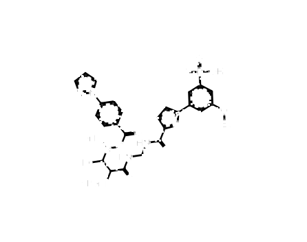 CCCCCC(C(=O)NCNC(=O)c1ccc(-c2cc(OCC)cc(P(=O)(O)O)c2)o1)C(CC)N(C=O)OC(=O)c1ccc(-n2cccn2)cc1